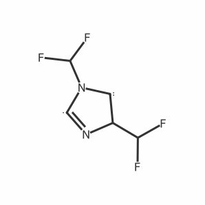 FC(F)C1[C]N(C(F)F)[C]=N1